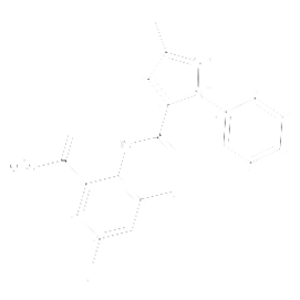 CNC(=O)c1cc(Cl)cc(C)c1NC(=O)c1cc(C)nn1-c1ccccc1